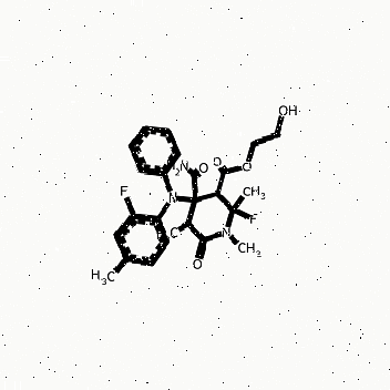 Cc1ccc(N(c2ccccc2)C2(C(N)=O)C(C)C(=O)N(C)C(C)(F)C2C(=O)OCCO)c(F)c1